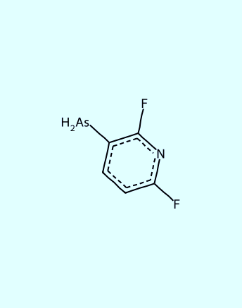 Fc1ccc([AsH2])c(F)n1